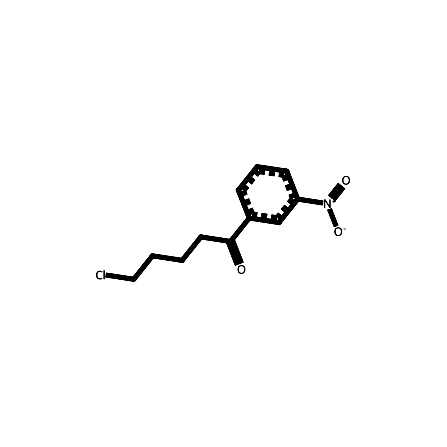 O=C(CCCCCl)c1cccc([N+](=O)[O-])c1